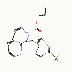 CCOC(=O)N1C=Cc2cccnc2C1c1ccc(C(F)(F)F)cc1